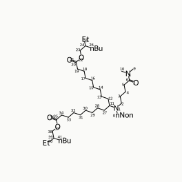 CCCCCCCCCN(CCCCC(=O)N(C)C)C(CCCCCCCCC(=O)OCC(CC)CCCC)CCCCCCCCC(=O)OCC(CC)CCCC